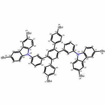 CC(C)(C)c1ccc(-c2cc(-c3cccc(-n4c5ccc(C(C)(C)C)cc5c5cc(C(C)(C)C)ccc54)c3)c(-c3ccc(C(C)(C)C)cc3)cc2-c2cccc(-n3c4ccc(C(C)(C)C)cc4c4cc(C(C)(C)C)ccc43)c2)cc1